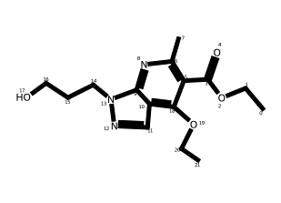 CCOC(=O)c1c(C)nc2c(cnn2CCCO)c1OCC